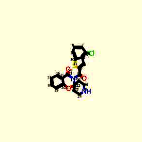 O=C(c1cc2c(Cl)cccc2s1)N1C(=O)c2ccccc2OC12CCNCC2